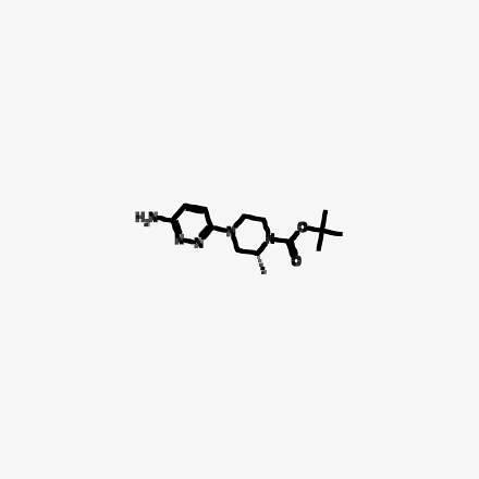 C[C@@H]1CN(c2ccc(N)nn2)CCN1C(=O)OC(C)(C)C